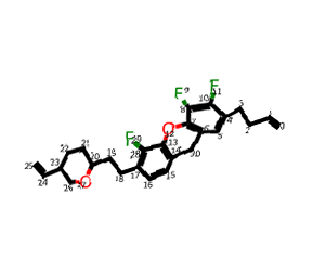 C=CCCc1cc2c(c(F)c1F)Oc1c(ccc(CCC3CCC(C=C)CO3)c1F)C2